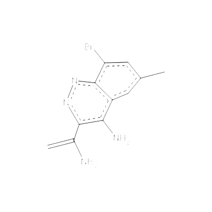 C=C(N)c1nnc2c(Br)cc(C)cc2c1N